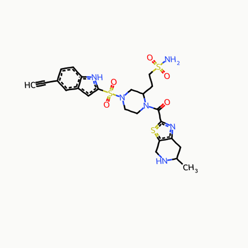 C#Cc1ccc2[nH]c(S(=O)(=O)N3CCN(C(=O)c4nc5c(s4)CNC(C)C5)C(CCS(N)(=O)=O)C3)cc2c1